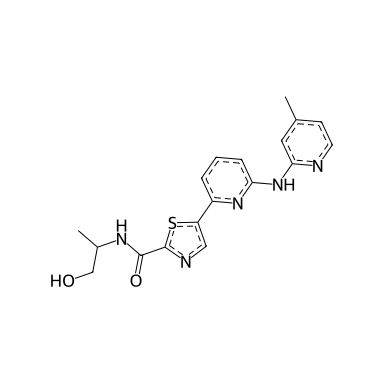 Cc1ccnc(Nc2cccc(-c3cnc(C(=O)NC(C)CO)s3)n2)c1